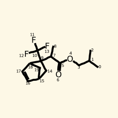 CC(C)COC(=O)C(C)C1(C(F)(F)F)CC2C=CC1C2